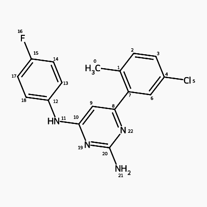 Cc1ccc(Cl)cc1-c1cc(Nc2ccc(F)cc2)nc(N)n1